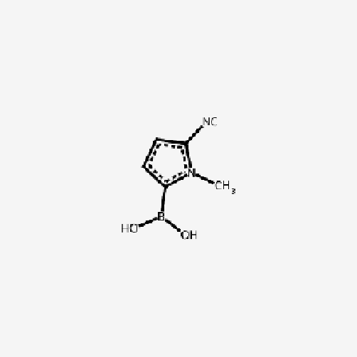 [C-]#[N+]c1ccc(B(O)O)n1C